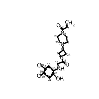 C=CC(=O)N1CCN(C2CN(C(=O)CNc3cc(Cl)c(Cl)cc3O)C2)CC1